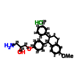 COc1ccc2c(c1)CCC(c1ccccc1)C2c1ccc(OCC(O)CN)cc1.Cl